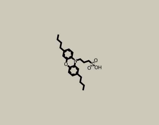 CCCCc1ccc2c(c1)Oc1ccc(CCCC)cc1N2CCCS(=O)(=O)O